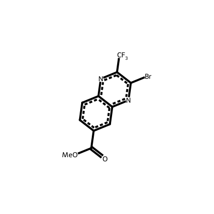 COC(=O)c1ccc2nc(C(F)(F)F)c(Br)nc2c1